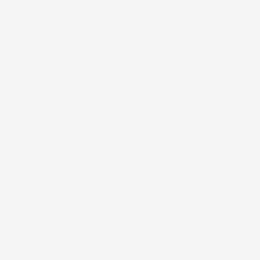 CCCCCCCCCCC(CCCCCC)CCCCCC(C)(C)C